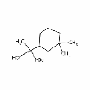 CCCCC(C)(O)C1CCCC(C)(C)C1